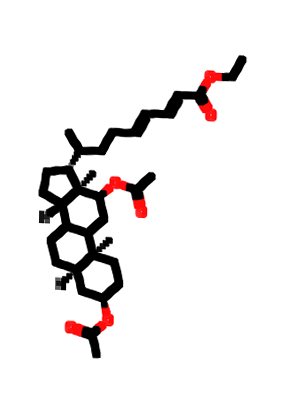 CCOC(=O)C=CC=CCCC(C)[C@H]1CC[C@H]2C3CC[C@@H]4C[C@H](OC(C)=O)CC[C@]4(C)C3C[C@H](OC(C)=O)[C@]12C